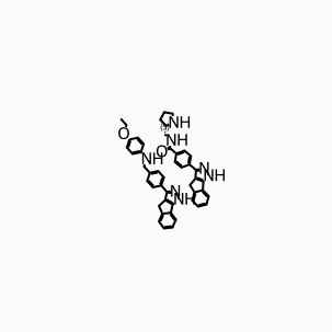 CCOc1ccc(NCc2ccc(-c3n[nH]c4c3Cc3ccccc3-4)cc2)cc1.O=C(NC[C@@H]1CCCN1)c1ccc(-c2n[nH]c3c2Cc2ccccc2-3)cc1